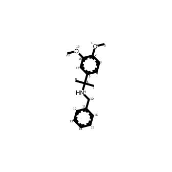 COc1ccc(C(C)(C)NCc2ccccc2)cc1OC